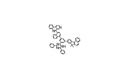 CC1(C)c2cc(-c3cc(-c4ccc(-c5nc6ccccc6c6ccncc56)c5ccccc45)cc(C4N=C(c5ccccc5)N=C(c5ccccc5)N4)c3)ccc2-c2c1ccc1ccccc21